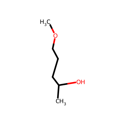 COCCCC(C)O